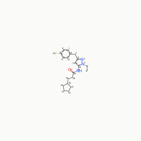 CCn1nc(Cc2ccc(F)cc2)cc1NC(=O)CCC1CCCC1